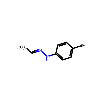 CCOC(=O)/C=N/Nc1ccc(C(C)C)cc1